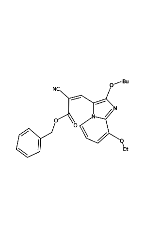 CCOc1cccn2c(/C=C(/C#N)C(=O)OCc3ccccc3)c(OC(C)CC)nc12